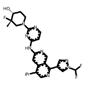 CC(C)c1cnc(-c2cnn(C(F)F)c2)c2cnc(Nc3ccnc(N4CC[C@@H](O)[C@@](C)(F)C4)n3)cc12